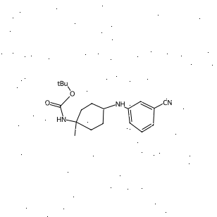 CC1(NC(=O)OC(C)(C)C)CCC(Nc2cccc(C#N)c2)CC1